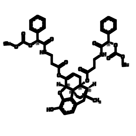 CN1CC[C@]23c4c5ccc(O)c4O[C@H]2C(OC(=O)CCNC(=O)[C@@H](OC(=O)OC(C)(C)C)c2ccccc2)=CC[C@@]3(OC(=O)CCNC(=O)[C@@H](OC(=O)OC(C)(C)C)c2ccccc2)[C@H]1C5